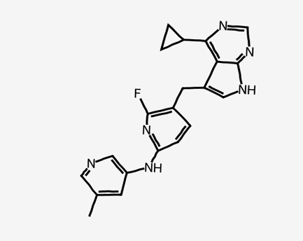 Cc1cncc(Nc2ccc(Cc3c[nH]c4ncnc(C5CC5)c34)c(F)n2)c1